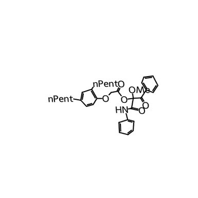 CCCCCc1ccc(OCC(=O)OC(OC)(C(=O)Nc2ccccc2)C(=O)c2ccccc2)c(CCCCC)c1